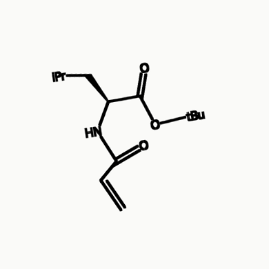 C=CC(=O)N[C@@H](CC(C)C)C(=O)OC(C)(C)C